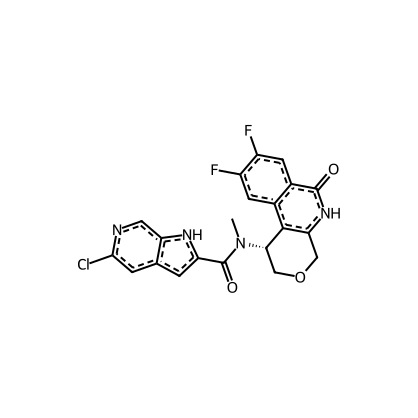 CN(C(=O)c1cc2cc(Cl)ncc2[nH]1)[C@H]1COCc2[nH]c(=O)c3cc(F)c(F)cc3c21